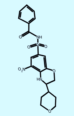 O=C(NS(=O)(=O)c1cc2c(c([N+](=O)[O-])c1)NC(C1CCOCC1)CO2)c1ccccc1